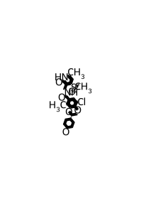 Cc1cc([S+](C)[O-])c(CNC(=O)c2cc(Cl)c3c(c2C)O[C@@H](C2CCC(=O)CC2)CO3)c(=O)[nH]1